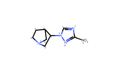 O=[N+]([O-])c1ncn(C2CN3CCC2C3)n1